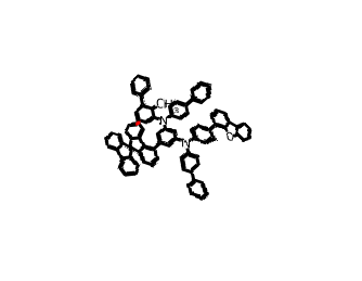 CC1C(N(c2ccc(-c3ccccc3)cc2)c2cc(-c3cccc4c3-c3ccccc3C43c4ccccc4-c4ccccc43)cc(N(c3ccc(-c4ccccc4)cc3)c3ccc(-c4cccc5c4oc4ccccc45)cc3)c2)=CC=CC1c1ccccc1